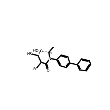 CC(C)C(CS)C(=O)N(c1ccc(-c2ccccc2)cc1)[C@@H](C)C(=O)O